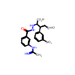 CC(=N)Nc1cccc(C(=O)NNC(C(=O)O)C(CC=O)c2cccc([N+](=O)[O-])c2)c1